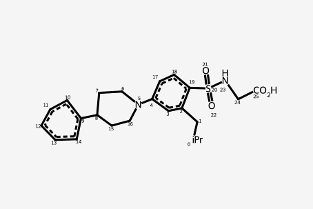 CC(C)Cc1cc(N2CCC(c3ccccc3)CC2)ccc1S(=O)(=O)NCC(=O)O